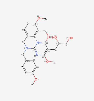 COc1ccc(CN(Cc2ccc(OC)cc2)c2nc(OC)c(CC(O)CO)c(OC)n2)cc1